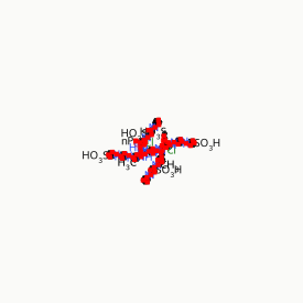 CCCOc1cc(N=Nc2ccc(N=Nc3ccccc3)cc2S(=O)(=O)O)c(Cl)cc1Nc1nc(Nc2ccc(N=Nc3ccc(N=Nc4ccc(S(=O)(=O)O)cc4)cc3)c(C)c2)nc(N2CCN(c3nc(Cc4ccc(N=Nc5ccc(N=Nc6ccccc6)cc5S(=O)(=O)O)c(C)c4)nc(Cc4cc(Cl)c(N=Nc5ccc(N=Nc6ccc(S(=O)(=O)O)cc6)cc5)cc4OCCCS(=O)(=O)O)n3)CC2)n1